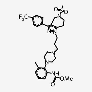 COC(=O)Nc1cccc(C)c1N1CCN(CCCn2nc(-c3ccc(C(F)(F)F)cc3)c3c2CCN(S(C)(=O)=O)C3)CC1